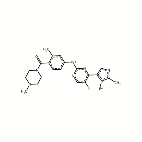 Cc1cc(Nc2ncc(F)c(-c3cnc(C)n3C(C)C)n2)ccc1C(=O)N1CCN(C)CC1